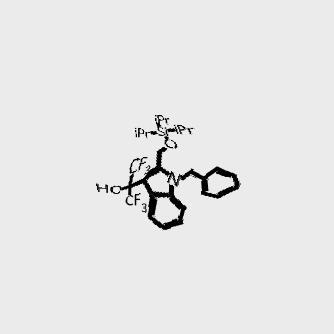 CC(C)[Si](OCc1c(C(O)(C(F)(F)F)C(F)(F)F)c2ccccc2n1Cc1ccccc1)(C(C)C)C(C)C